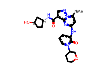 CNc1cc(Nc2cccn(C3CCCOC3)c2=O)nc2c(C(=O)N[C@@H]3CC[C@@H](O)C3)cnn12